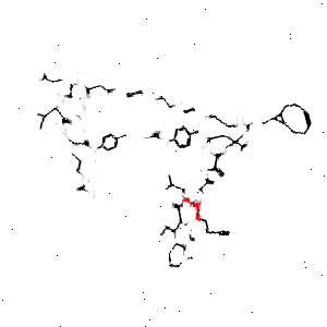 C#CCCCON(C(=O)[C@@H](NC(=O)[C@H]1CCCCN1C)[C@@H](C)CC)[C@H](C[C@@H](OC(C)=O)c1nc(C(=O)N[C@@H](Cc2ccc(NC(=O)OCc3ccc(NC(=O)[C@H](CCCNC(N)=O)NC(=O)[C@@H](NC(=O)[C@H](CCC(=O)O)NC(=O)CCOCCOCCOCCOCCNC(=O)OCC4C5CCC#CCCC54)C(C)C)cc3)cc2)CC(C)(C)C(=O)O)cs1)C(C)C